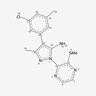 CSc1nccnc1-n1nc(C)c(-c2cc(C)cc(Cl)c2)c1N